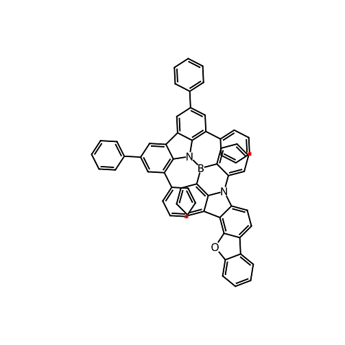 c1ccc(-c2cc(-c3ccccc3)c3c(c2)c2cc(-c4ccccc4)cc(-c4ccccc4)c2n3B2c3ccccc3-n3c4ccc5c6ccccc6oc5c4c4cccc2c43)cc1